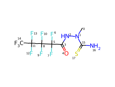 CN(NC(=O)C(F)(F)C(F)(F)C(F)(F)C(F)(F)F)C(N)=S